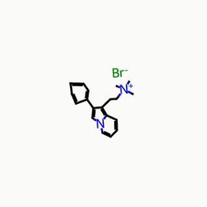 C[N+](C)(C)CCc1c(-c2ccccc2)cn2ccccc12.[Br-]